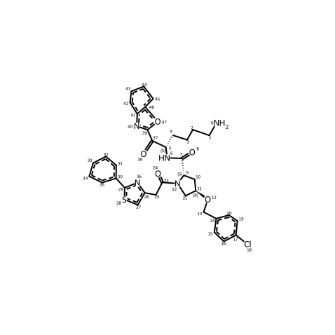 NCCCC[C@H](NC(=O)[C@@H]1C[C@@H](OCc2ccc(Cl)cc2)CN1C(=O)Cc1csc(-c2ccccc2)n1)C(=O)c1nc2ccccc2o1